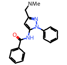 CNCc1cc(NC(=O)c2ccccc2)n(-c2ccccc2)n1